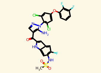 CS(=O)(=O)Nc1cc2[nH]c(C(=O)c3cnn(-c4c(Cl)cc(Oc5cccc(F)c5F)cc4Cl)c3N)cc2cc1F